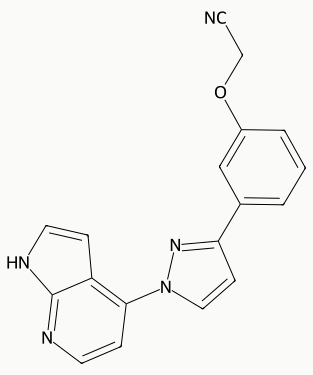 N#CCOc1cccc(-c2ccn(-c3ccnc4[nH]ccc34)n2)c1